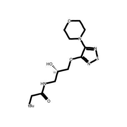 CC(C)(C)CC(=O)NC[C@H](O)COc1nsnc1N1CCOCC1